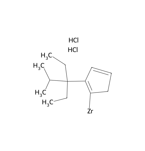 CCC(CC)(C1=[C]([Zr])CC=C1)C(C)C.Cl.Cl